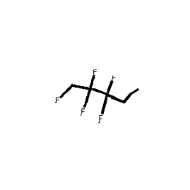 CCC(F)(F)C(F)(F)[CH]F